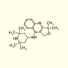 CC1(C)CC(Nc2c3c(nc4ccccc24)C(C)(C)OC3)CC(C)(C)N1